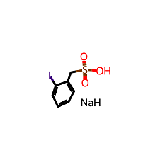 O=S(=O)(O)Cc1ccccc1I.[NaH]